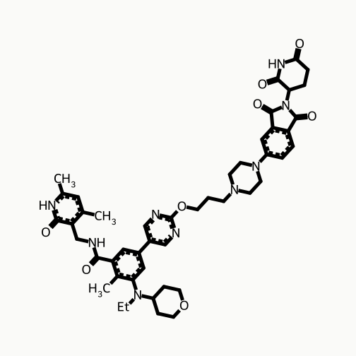 CCN(c1cc(-c2cnc(OCCCN3CCN(c4ccc5c(c4)C(=O)N(C4CCC(=O)NC4=O)C5=O)CC3)nc2)cc(C(=O)NCc2c(C)cc(C)[nH]c2=O)c1C)C1CCOCC1